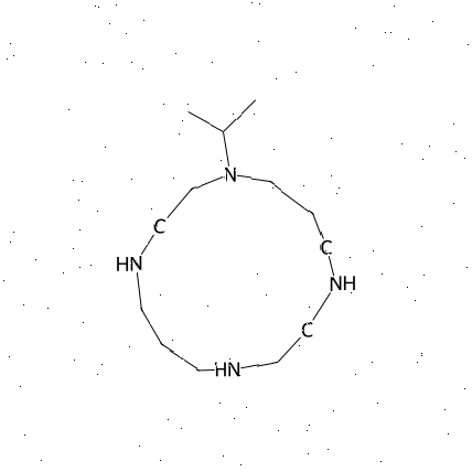 CC(C)N1CCCNCCNCCCNCC1